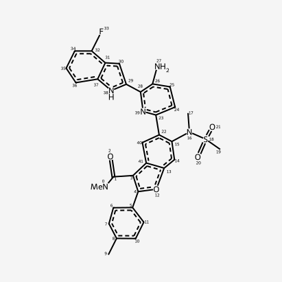 CNC(=O)c1c(-c2ccc(C)cc2)oc2cc(N(C)S(C)(=O)=O)c(-c3ccc(N)c(-c4cc5c(F)cccc5[nH]4)n3)cc12